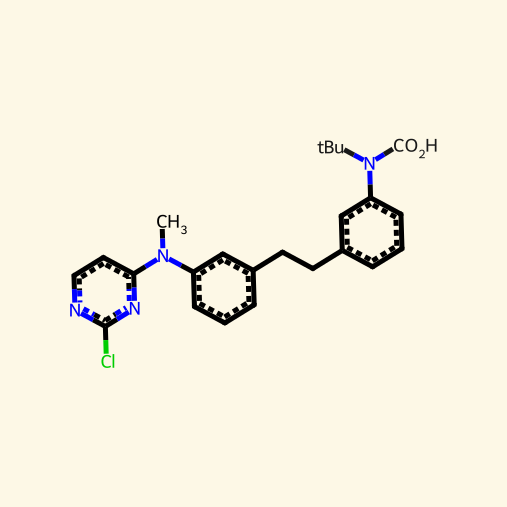 CN(c1cccc(CCc2cccc(N(C(=O)O)C(C)(C)C)c2)c1)c1ccnc(Cl)n1